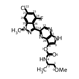 COC[C@H](C)NC(=O)Oc1c[nH]c2ncc(-c3nn(C)c4cc(Cl)cc(F)c34)nc12